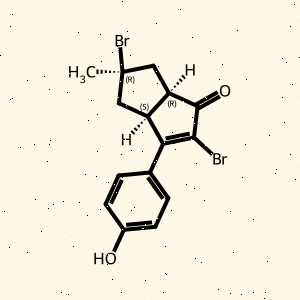 C[C@@]1(Br)C[C@@H]2C(c3ccc(O)cc3)=C(Br)C(=O)[C@@H]2C1